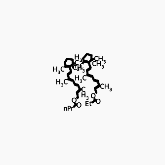 CCC(=O)OCC=C(C)C=CC=C(C)C=CC1=C(C)CCCC1(C)C.CCCC(=O)OCC=C(C)C=CC=C(C)C=CC1=C(C)CCCC1(C)C